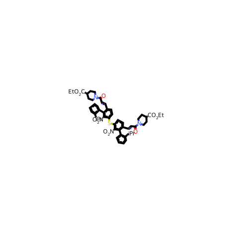 CCOC(=O)C1CCN(C(=O)/C=C/c2ccc(Sc3ccc(/C=C/C(=O)N4CCC(C(=O)OCC)CC4)c(-c4ccccc4C(C)C)c3[N+](=O)[O-])c([N+](=O)[O-])c2-c2ccccc2C(C)C)CC1